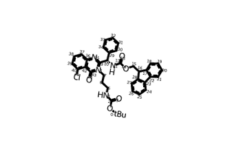 CC(C)(C)OC(=O)NCCCn1c([C@@H](NC(=O)OCC2c3ccccc3-c3ccccc32)c2ccccc2)nc2cccc(Cl)c2c1=O